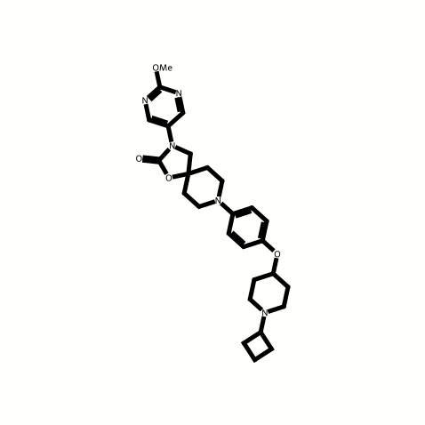 COc1ncc(N2CC3(CCN(c4ccc(OC5CCN(C6CCC6)CC5)cc4)CC3)OC2=O)cn1